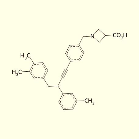 Cc1cccc(C(C#Cc2ccc(CN3CC(C(=O)O)C3)cc2)Cc2ccc(C)c(C)c2)c1